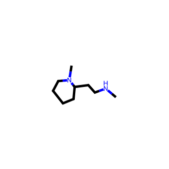 CNCCC1CCCCN1C